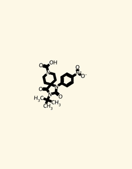 CC(C)(C)N1C(=O)N(c2ccc([N+](=O)[O-])cc2)C2(CCN(C(=O)O)CC2)C1=O